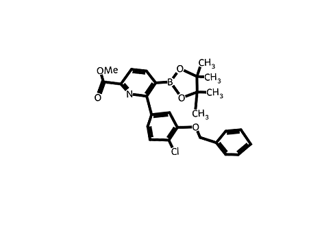 COC(=O)c1ccc(B2OC(C)(C)C(C)(C)O2)c(-c2ccc(Cl)c(OCc3ccccc3)c2)n1